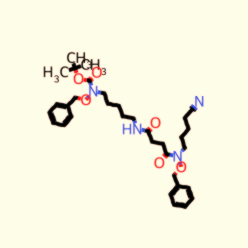 CC(C)(C)OC(=O)N(CCCCCNC(=O)CCC(=O)N(CCCCC#N)OCc1ccccc1)OCc1ccccc1